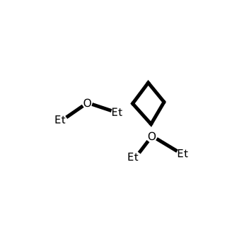 C1CCC1.CCOCC.CCOCC